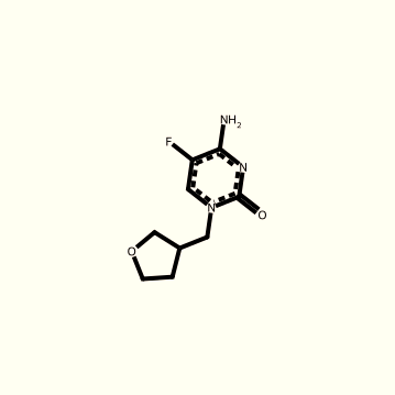 Nc1nc(=O)n(CC2CCOC2)cc1F